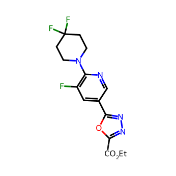 CCOC(=O)c1nnc(-c2cnc(N3CCC(F)(F)CC3)c(F)c2)o1